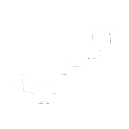 CC1(C)Cc2cccc(OCC(=O)Nc3nc4cc(F)ccc4s3)c2O1